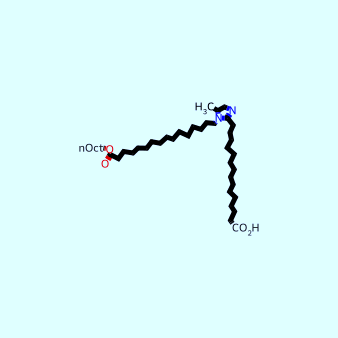 CCCCCCCCOC(=O)CCCCCCCCCCCCCCCN1C(CCCCCCCCCCCCCCC(=O)O)=NCC1C